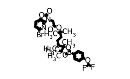 C[C@@H](CCC(C)(C)OC(=O)Cn1c(=O)oc2ccc(Br)nc21)C1(C)OB(c2ccc(OC(F)F)cc2)OC1(C)C